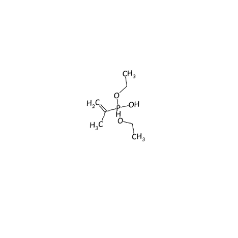 C=C(C)[PH](O)(OCC)OCC